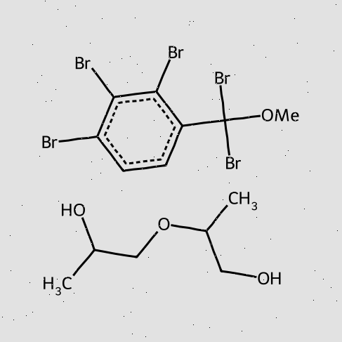 CC(O)COC(C)CO.COC(Br)(Br)c1ccc(Br)c(Br)c1Br